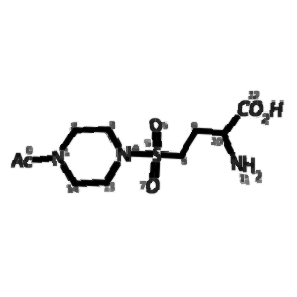 CC(=O)N1CCN(S(=O)(=O)CCC(N)C(=O)O)CC1